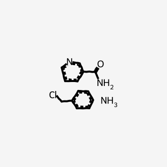 ClCc1ccccc1.N.NC(=O)c1cccnc1